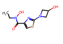 CCN(O)C(=O)c1csc(N2CC(O)C2)n1